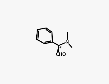 CN(C)[C@@H]([C]=O)c1ccccc1